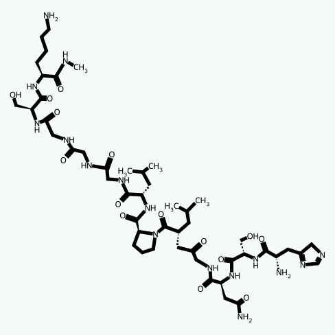 CNC(=O)[C@H](CCCCN)NC(=O)[C@H](CO)NC(=O)CNC(=O)CNC(=O)CNC(=O)[C@H](CC(C)C)NC(=O)[C@@H]1CCCN1C(=O)[C@@H](CC(=O)CNC(=O)[C@H](CC(N)=O)NC(=O)[C@H](CO)NC(=O)[C@@H](N)CC1=NC=NC1)CC(C)C